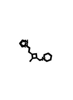 C[C@H]1[C@@H](CCn2cccn2)C[C@H]1CN1CCCCC1